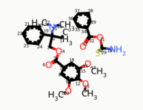 CCC(COC(=O)c1cc(OC)c(OC)c(OC)c1)(c1ccccc1)N(C)C.NC(=S)OC(=O)c1ccccc1